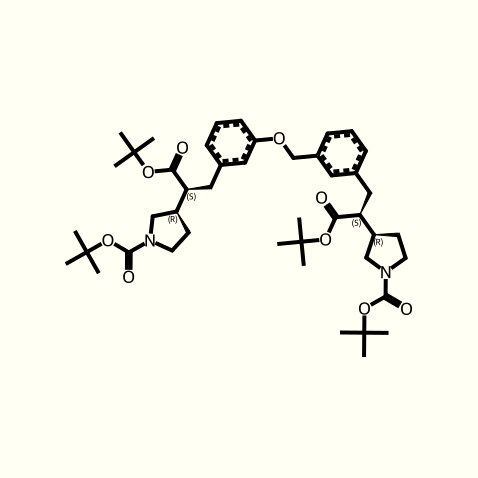 CC(C)(C)OC(=O)[C@@H](Cc1cccc(COc2cccc(C[C@H](C(=O)OC(C)(C)C)[C@H]3CCN(C(=O)OC(C)(C)C)C3)c2)c1)[C@H]1CCN(C(=O)OC(C)(C)C)C1